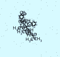 CC(C)CN(CC(O)C(Cc1ccccc1)NC(=O)C(NC(=O)CNC(=O)C(C)C)C(C)(C)C)S(=O)(=O)c1ccc2c(c1)OCO2